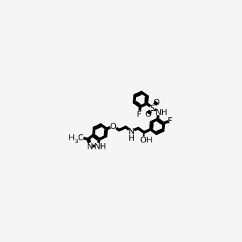 Cc1n[nH]c2cc(OCCNC[C@H](O)c3ccc(F)c(NS(=O)(=O)c4ccccc4F)c3)ccc12